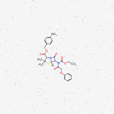 CC1(C)S[C@H]2C(N(C(=O)COc3ccccc3)C(=O)OCC(Cl)(Cl)Cl)C(=O)N2C1C(=O)OCc1ccc([N+](=O)[O-])cc1